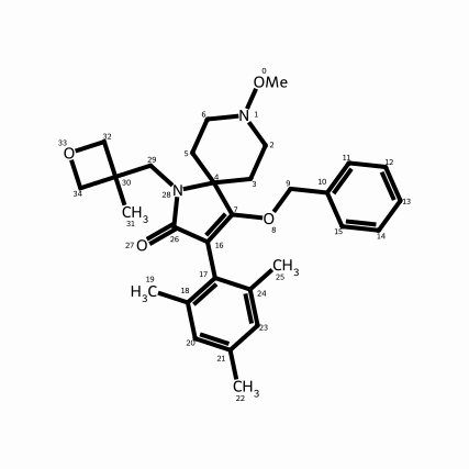 CON1CCC2(CC1)C(OCc1ccccc1)=C(c1c(C)cc(C)cc1C)C(=O)N2CC1(C)COC1